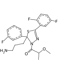 COC(C)C(=O)N1N=C(c2cc(F)ccc2F)SC1(CCCN)c1cccc(F)c1